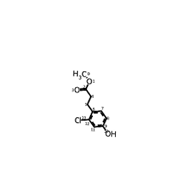 COC(=O)CCc1ccc(O)cc1Cl